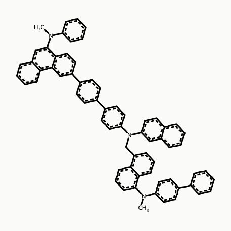 CN(c1ccc(-c2ccccc2)cc1)c1cccc2c(CN(c3ccc(-c4ccc(-c5ccc6c(N(C)c7ccccc7)cc7ccccc7c6c5)cc4)cc3)c3ccc4ccccc4c3)cccc12